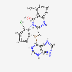 Cc1cccc2nc(CSc3ncnc4[nH]cnc34)n(-c3ccccc3F)c(=O)c12